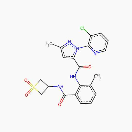 Cc1cccc(C(=O)NC2CS(=O)(=O)C2)c1NC(=O)c1cc(C(F)(F)F)nn1-c1ncccc1Cl